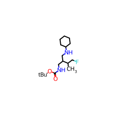 CC(CF)C(CNC(=O)OC(C)(C)C)CNC1CCCCC1